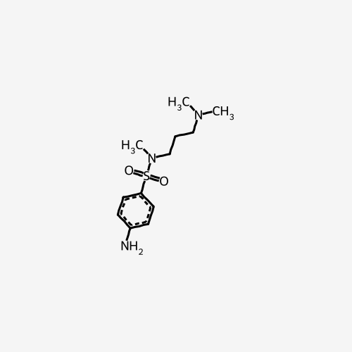 CN(C)CCCN(C)S(=O)(=O)c1ccc(N)cc1